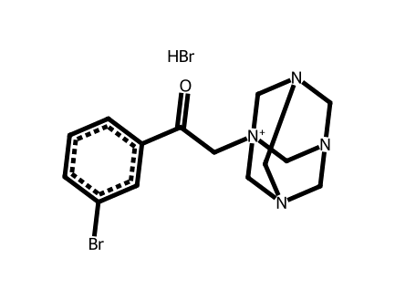 Br.O=C(C[N+]12CN3CN(CN(C3)C1)C2)c1cccc(Br)c1